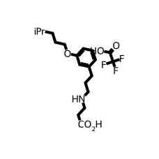 CC(C)CCCOc1cccc(CCCNCCC(=O)O)c1.O=C(O)C(F)(F)F